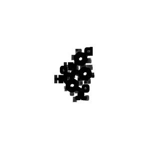 CN(C)C(=O)c1ccc2c(c1)/C(=C(/Nc1ccc(Cl)cc1)c1ccccc1)C(=O)N2